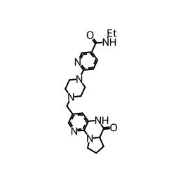 CCNC(=O)c1ccc(N2CCN(Cc3cnc4c(c3)NC(=O)C3CCCN43)CC2)nc1